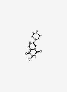 Cn1nc(Cl)c2cc(N3CCOCC3)ncc2c1=O